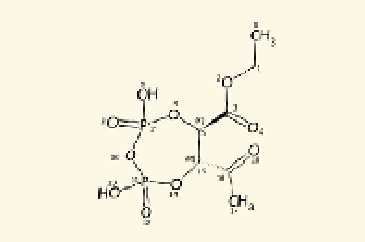 CCOC(=O)[C@@H]1OP(=O)(O)OP(=O)(O)O[C@H]1C(C)=O